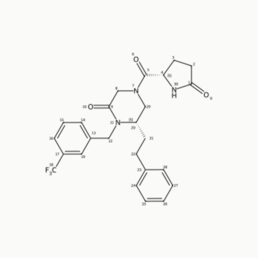 O=C1CC[C@@H](C(=O)N2CC(=O)N(Cc3cccc(C(F)(F)F)c3)[C@@H](CCc3ccccc3)C2)N1